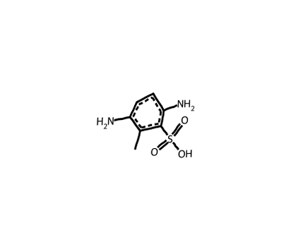 Cc1c(N)ccc(N)c1S(=O)(=O)O